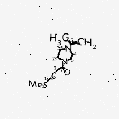 C=C(C)N1CCN(C(=O)CCCSC)CC1